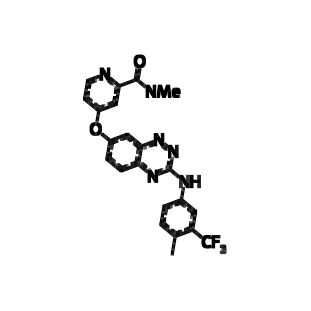 CNC(=O)c1cc(Oc2ccc3nc(Nc4ccc(C)c(C(F)(F)F)c4)nnc3c2)ccn1